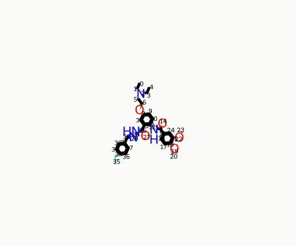 CCN(CC)CCOc1ccc(NC(=O)c2ccc(OC)c(OC)c2)c(C(=O)NN=Cc2ccc(F)cc2)c1